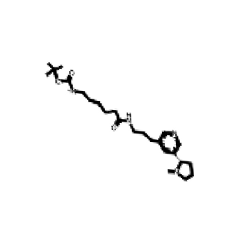 CN1CCC[C@H]1c1cncc(CCCNC(=O)CCCCCNC(=O)OC(C)(C)C)c1